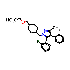 Cc1nn(CC2CCC(COCC(=O)O)CC2)c(-c2ccccc2F)c1-c1ccccc1